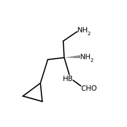 NC[C@@](N)(BC=O)CC1CC1